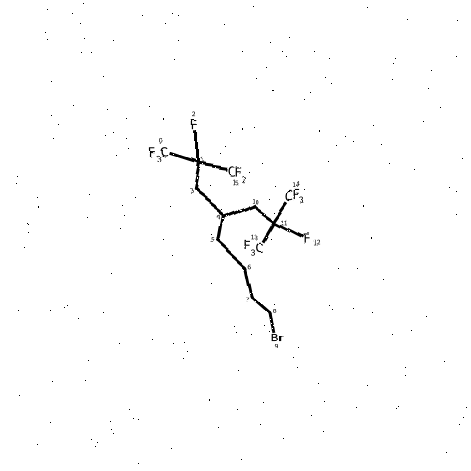 FC(F)(F)C(F)(CC(CCCCBr)CC(F)(C(F)(F)F)C(F)(F)F)C(F)(F)F